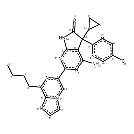 CCCCc1nc(-c2nc(N)c3c(n2)NC(=O)C3(c2ncc(Cl)cn2)C2CC2)cn2ccnc12